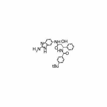 CC(C)(C)c1ccc(C(=O)N[C@@H](c2ccccc2)[C@@H](O)C(=O)Nc2ccc3nc(N)[nH]c3c2)cc1